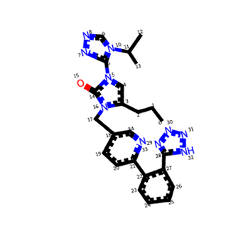 CCCc1cn(-c2nncn2C(C)C)c(=O)n1Cc1ccc(-c2ccccc2-c2nnn[nH]2)nc1